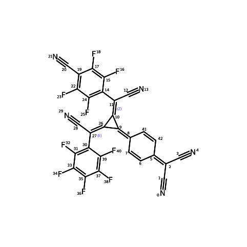 N#CC(C#N)=c1ccc(=C2C(=C(\C#N)c3c(F)c(F)c(C#N)c(F)c3F)/C2=C(\C#N)c2c(F)c(F)c(F)c(F)c2F)cc1